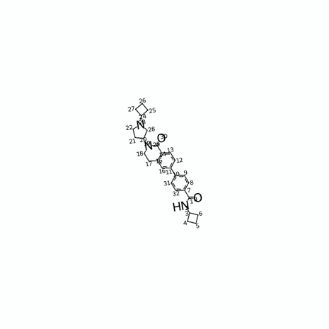 O=C(NC1CCC1)c1ccc(-c2ccc3c(c2)CCN([C@@H]2CCN(C4CCC4)C2)C3=O)cc1